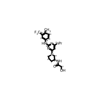 CCCc1cc(N2CCC[C@@H](NC(=O)CO)C2)nc(Nc2ccc(C)c(C(F)(F)F)c2)n1